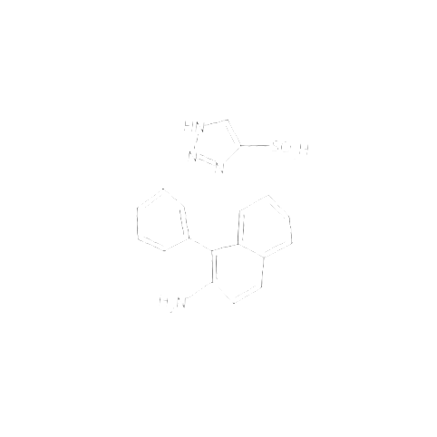 Nc1ccc2ccccc2c1-c1ccccc1.O=S(=O)(O)c1c[nH]nn1